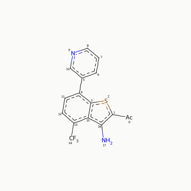 CC(=O)c1sc2c(-c3cccnc3)ccc(C(F)(F)F)c2c1N